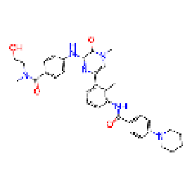 Cc1c(NC(=O)c2ccc(N3CCCCC3)cc2)cccc1-c1cn(C)c(=O)c(Nc2ccc(C(=O)N(C)CCO)cc2)n1